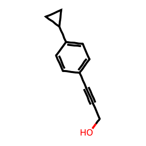 OCC#Cc1ccc(C2CC2)cc1